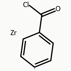 O=C(Cl)c1cc[c]cc1.[Zr]